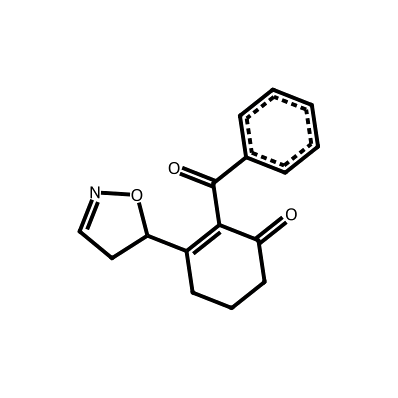 O=C1CCCC(C2CC=NO2)=C1C(=O)c1ccccc1